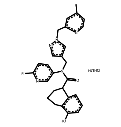 Cc1ccnc(Cn2cc(CN(C(=O)C3CCCc4c(O)cccc43)c3ccc(C(C)C)nc3)cn2)c1.Cl.Cl